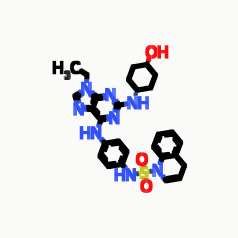 CCn1cnc2c(Nc3ccc(NS(=O)(=O)N4C=CCc5ccccc54)cc3)nc(N[C@H]3CC[C@H](O)CC3)nc21